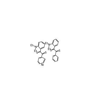 CCN(CC)c1ccccc1C(=S)C(=S)c1ccccc1.CCN(CC)c1ccccc1C(=S)C(=S)c1ccccc1.[Ni]